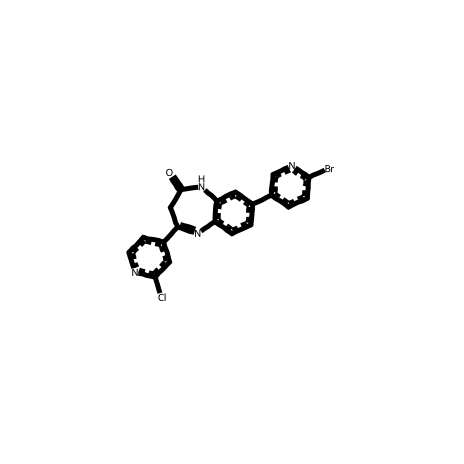 O=C1CC(c2ccnc(Cl)c2)=Nc2ccc(-c3ccc(Br)nc3)cc2N1